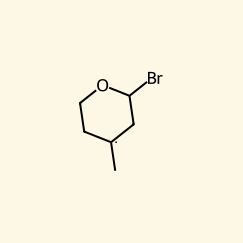 C[C]1CCOC(Br)C1